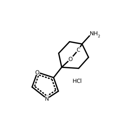 Cl.NC12CCC(c3cnco3)(CC1)OC2